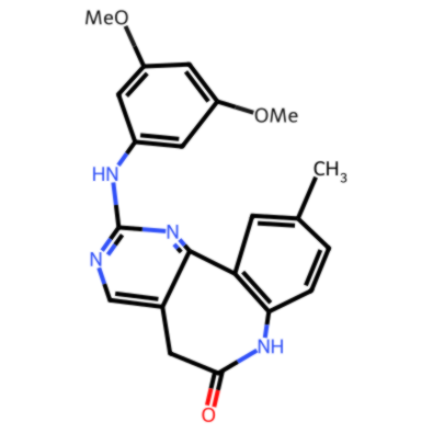 COc1cc(Nc2ncc3c(n2)-c2cc(C)ccc2NC(=O)C3)cc(OC)c1